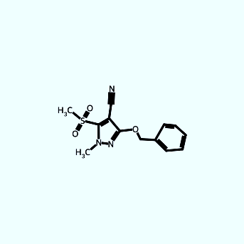 Cn1nc(OCc2ccccc2)c(C#N)c1S(C)(=O)=O